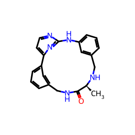 C[C@@H]1NCc2cccc(c2)Nc2nccc(n2)-c2cccc(c2)CNC1=O